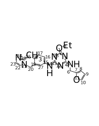 CCOc1nc(NCc2ccco2)nc(Nc2cccc(Cn3ccnc3C)c2)n1